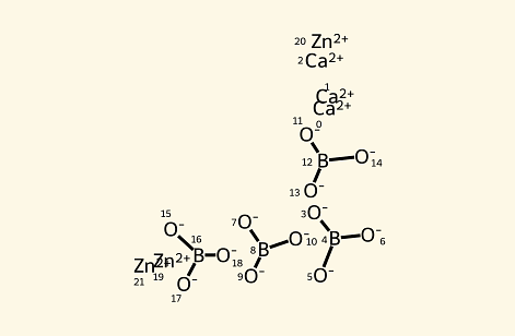 [Ca+2].[Ca+2].[Ca+2].[O-]B([O-])[O-].[O-]B([O-])[O-].[O-]B([O-])[O-].[O-]B([O-])[O-].[Zn+2].[Zn+2].[Zn+2]